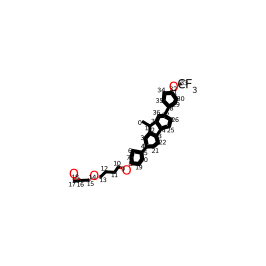 CC1c2cc(-c3ccc(OCCCCOCC4CO4)cc3)ccc2-c2ccc(-c3ccc(OC(F)(F)F)cc3)cc21